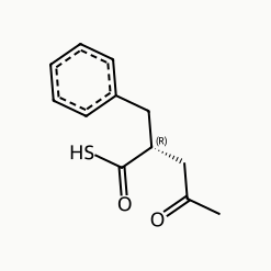 CC(=O)C[C@@H](Cc1ccccc1)C(=O)S